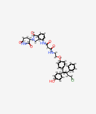 O=C(CC(=O)Nc1cccc2c1CN(C1CCC(=O)NC1=O)C2=O)NCCOc1ccc(C(=C(CCCl)c2ccccc2)c2ccc(O)cc2)cc1